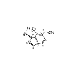 Cc1c(CO)ccc2cnn(C(C)C)c12